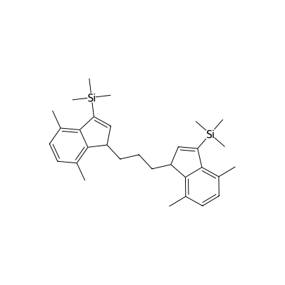 Cc1ccc(C)c2c1C([Si](C)(C)C)=CC2CCCC1C=C([Si](C)(C)C)c2c(C)ccc(C)c21